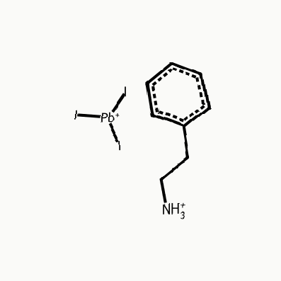 [I][Pb+]([I])[I].[NH3+]CCc1ccccc1